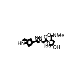 CNC(=O)C1CC(O)CN1C(=O)[C@@H](n1cc(-c2ccc3[nH]ccc3c2)nn1)C(C)(C)C